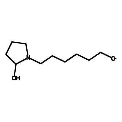 [O]CCCCCCN1CCCC1O